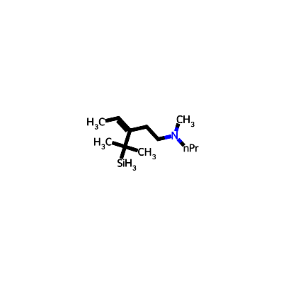 CC=C(CCN(C)CCC)C(C)(C)[SiH3]